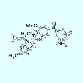 COc1cc(C(=O)N2C[C@H](N)C[C@@H](F)C2)cc2nc(-c3cc4cc(C)sc4n3CC3CC3)n(C)c12